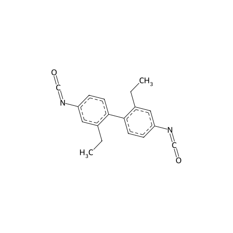 CCc1cc(N=C=O)ccc1-c1ccc(N=C=O)cc1CC